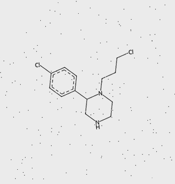 ClCCCN1CCNCC1c1ccc(Cl)cc1